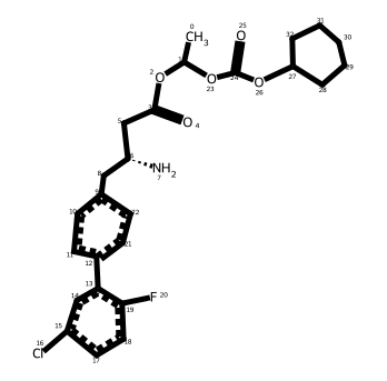 CC(OC(=O)C[C@H](N)Cc1ccc(-c2cc(Cl)ccc2F)cc1)OC(=O)OC1CCCCC1